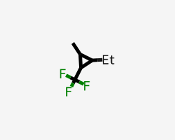 CCC1C(C)C1C(F)(F)F